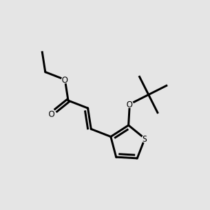 CCOC(=O)/C=C/c1ccsc1OC(C)(C)C